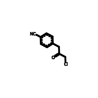 N#Cc1ccc(CC(=O)CCl)cc1